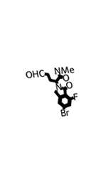 CNC(=O)C(CCC=O)N1Cc2cc(Br)cc(F)c2C1=O